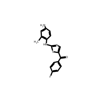 Cc1cc(N)ccc1Nc1ncc(C(=O)c2ccc(F)cc2)s1